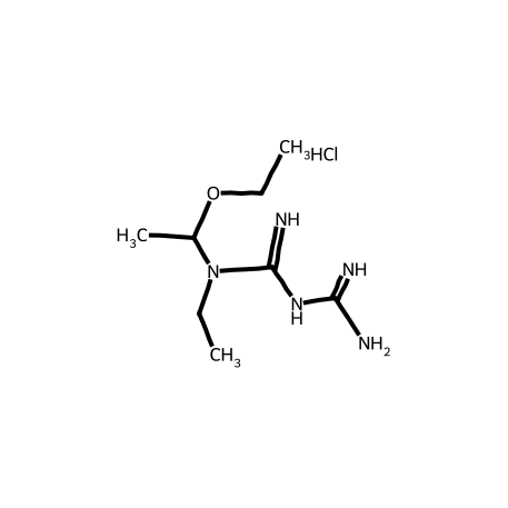 CCOC(C)N(CC)C(=N)NC(=N)N.Cl